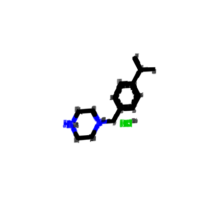 CC(C)c1ccc(CN2CCNCC2)cc1.Cl